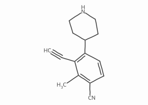 C#Cc1c(C2CCNCC2)ccc(C#N)c1C